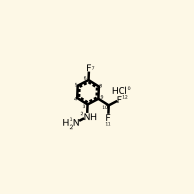 Cl.NNc1ccc(F)cc1C(F)F